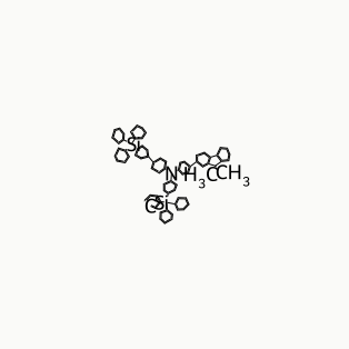 CC1(C)c2ccccc2-c2ccc(-c3ccc(N(c4ccc(-c5ccc([Si](c6ccccc6)(c6ccccc6)c6ccccc6)cc5)cc4)c4ccc([Si](c5ccccc5)(c5ccccc5)c5ccccc5)cc4)cc3)cc21